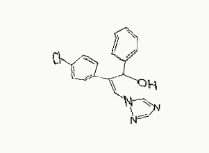 OC(C(=Cn1cncn1)c1ccc(Cl)cc1)c1ccccc1